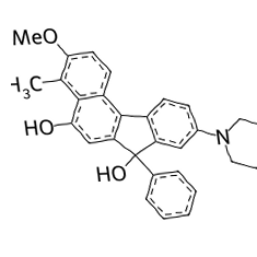 COc1ccc2c3c(cc(O)c2c1C)C(O)(c1ccccc1)c1cc(N2CCOCC2)ccc1-3